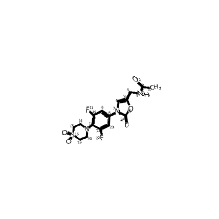 CC(=O)NCc1cn(-c2cc(F)c(N3CCS(=O)(=O)CC3)c(F)c2)c(=O)o1